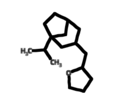 CC(C)C12CCC(CC(CC3CCCO3)C1)C2